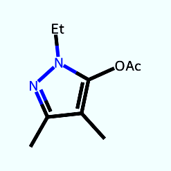 CCn1nc(C)c(C)c1OC(C)=O